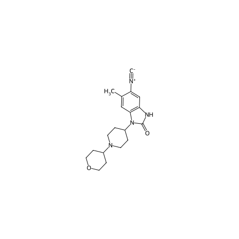 [C-]#[N+]c1cc2[nH]c(=O)n(C3CCN(C4CCOCC4)CC3)c2cc1C